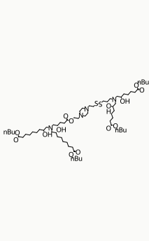 CCCCOC(=O)CCCCCCC(O)CN(CCCCC(=O)OCCN1CCN(CCSSCCCN(CC(O)CCCCC(=O)OCCCC)CC(O)CCCCC(=O)OCCCC)CC1)CC(O)CCCCCCC(=O)OCCCC